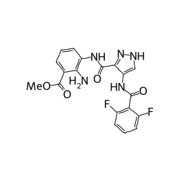 COC(=O)c1cccc(NC(=O)c2n[nH]cc2NC(=O)c2c(F)cccc2F)c1N